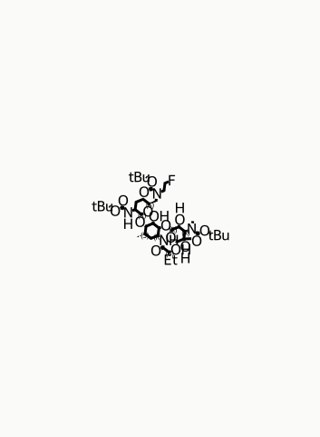 CC[C@H](O)C(=O)N[C@@H]1C[C@H](C)C(O[C@H]2O[C@H](CN(CCF)C(=O)OC(C)(C)C)CCC2NC(=O)OC(C)(C)C)C(O)C1O[C@H]1OCC(C)(O)[C@H](N(C)C(=O)OC(C)(C)C)C1O